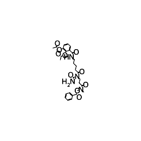 CC(=O)Oc1cccc(C(=O)NCCCCC(=O)N(CCC(=O)N(C)OC(=O)c2ccccc2)C(N)=O)c1OC(C)=O